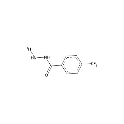 [2H]NNC(=O)c1ccc(C(F)(F)F)cc1